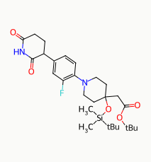 CC(C)(C)OC(=O)CC1(O[Si](C)(C)C(C)(C)C)CCN(c2ccc(C3CCC(=O)NC3=O)cc2F)CC1